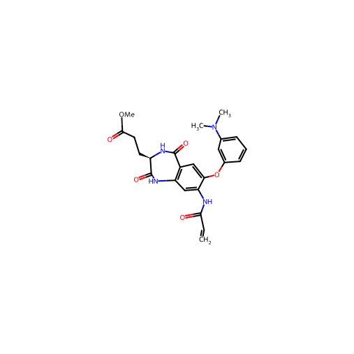 C=CC(=O)Nc1cc2c(cc1Oc1cccc(N(C)C)c1)C(=O)N[C@H](CCC(=O)OC)C(=O)N2